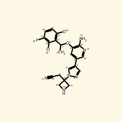 CC(Oc1cc(-c2cnn(C3(CC#N)CNC3)c2)cnc1N)c1c(Cl)ccc(F)c1Cl